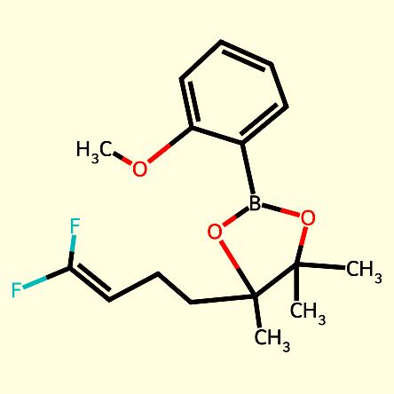 COc1ccccc1B1OC(C)(C)C(C)(CCC=C(F)F)O1